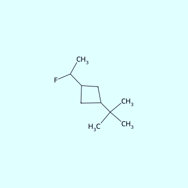 CC(F)C1CC(C(C)(C)C)C1